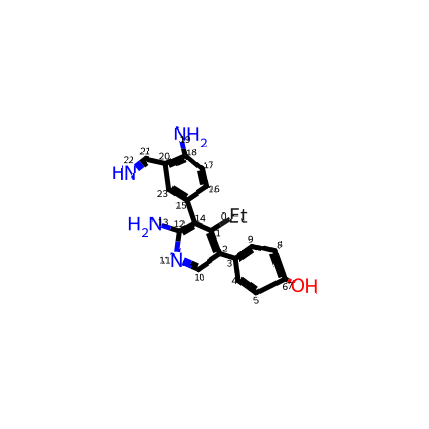 CCc1c(-c2ccc(O)cc2)cnc(N)c1-c1ccc(N)c(C=N)c1